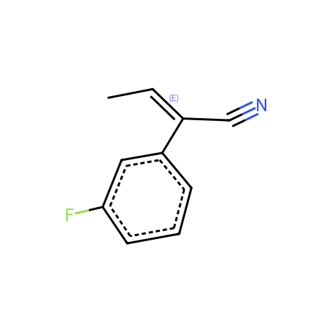 C/C=C(/C#N)c1cccc(F)c1